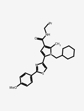 COc1ccc(-c2nc(-c3cc(C(=O)NCC(C)C)c(C)n3CC3CCCCC3)cs2)cc1